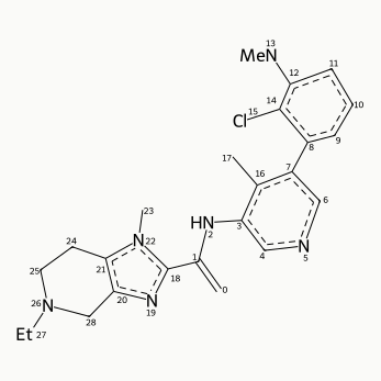 C=C(Nc1cncc(-c2cccc(NC)c2Cl)c1C)c1nc2c(n1C)CCN(CC)C2